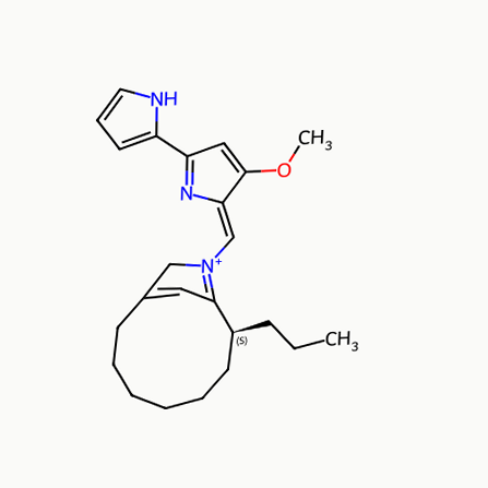 CCC[C@H]1CCCCCCC2=CC1=[N+](C=C1N=C(c3ccc[nH]3)C=C1OC)C2